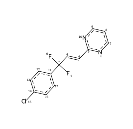 FC(F)(C=Cc1ncccn1)c1ccc(Cl)cc1